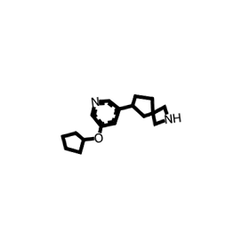 c1ncc(C2CCC3(CNC3)C2)cc1OC1CCCC1